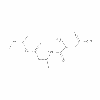 CCC(C)OC(=O)CC(C)NC(=O)C(N)CC(=O)O